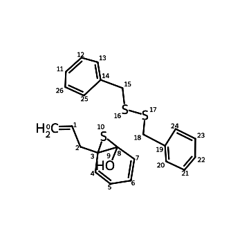 C=CCC12C=CC=CC1(O)S2.c1ccc(CSSCc2ccccc2)cc1